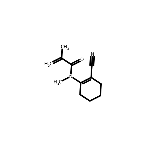 C=C(C)C(=O)N(C)C1=C(C#N)CCCC1